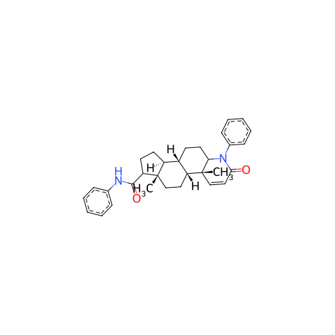 C[C@]12C=CC(=O)N(c3ccccc3)C1CC[C@@H]1[C@H]2CC[C@]2(C)C(C(=O)Nc3ccccc3)CC[C@@H]12